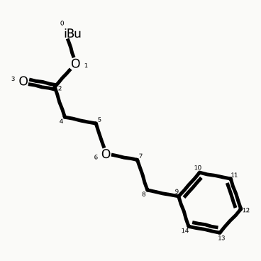 CCC(C)OC(=O)CCOCCc1ccccc1